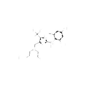 CCCN(CCC)Cc1oc(Nc2c(C)cc(C)cc2Cl)nc1C(F)(F)F